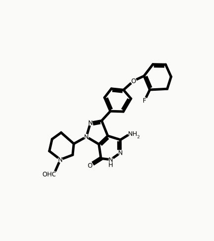 Nc1n[nH]c(=O)c2c1c(-c1ccc(OC3=C(F)CCC=C3)cc1)nn2C1CCCN(C=O)C1